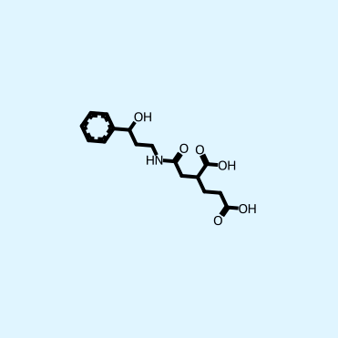 O=C(O)CCC(CC(=O)NCCC(O)c1ccccc1)C(=O)O